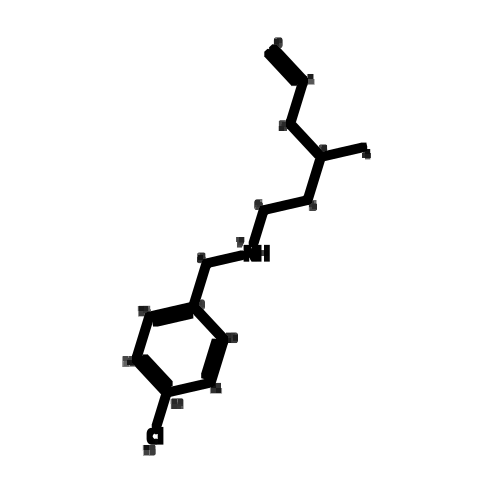 C=CCC(C)CCNCc1ccc(Cl)cc1